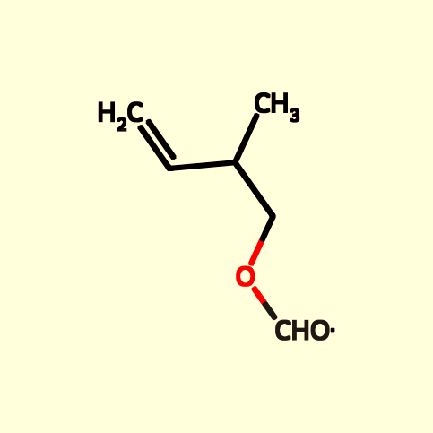 C=CC(C)CO[C]=O